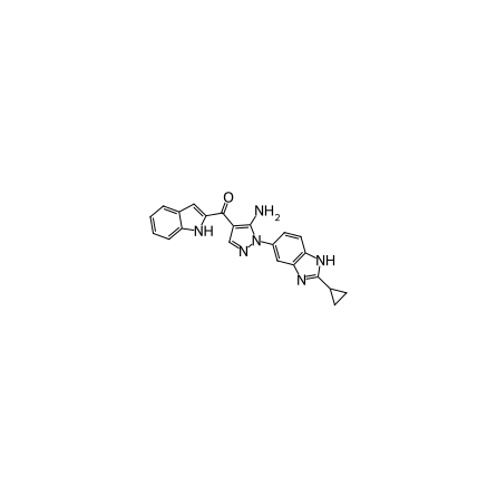 Nc1c(C(=O)c2cc3ccccc3[nH]2)cnn1-c1ccc2[nH]c(C3CC3)nc2c1